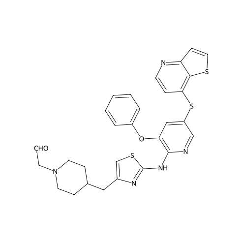 O=CCN1CCC(Cc2csc(Nc3ncc(Sc4ccnc5ccsc45)cc3Oc3ccccc3)n2)CC1